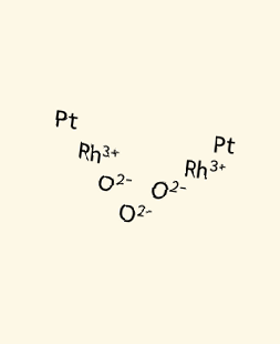 [O-2].[O-2].[O-2].[Pt].[Pt].[Rh+3].[Rh+3]